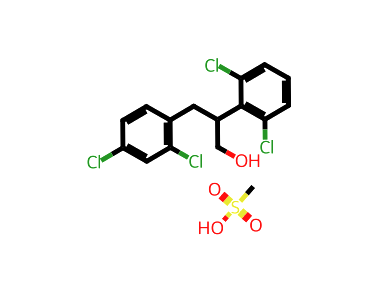 CS(=O)(=O)O.OCC(Cc1ccc(Cl)cc1Cl)c1c(Cl)cccc1Cl